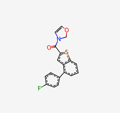 O=C(c1cc2c(-c3ccc(F)cc3)cccc2s1)N1C=COC1